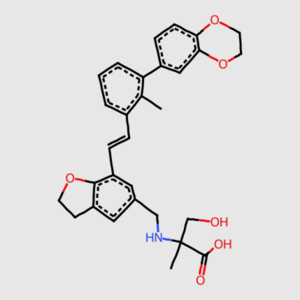 Cc1c(C=Cc2cc(CNC(C)(CO)C(=O)O)cc3c2OCC3)cccc1-c1ccc2c(c1)OCCO2